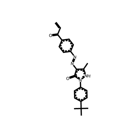 C=CC(=O)c1ccc(N=Nc2c(C)[nH]n(-c3ccc(C(C)(C)C)cc3)c2=O)cc1